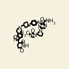 CN1CCN([C@@H]2CCCN(c3cnc(C(N)=O)c(Nc4ccc(N5CCC(CN6CCc7c(ccc8c(C9CCC(=O)NC9=O)noc78)C6)CC5)cc4)n3)C2)C1=O